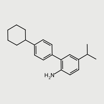 CC(C)c1ccc(N)c(-c2ccc(C3CCCCC3)cc2)c1